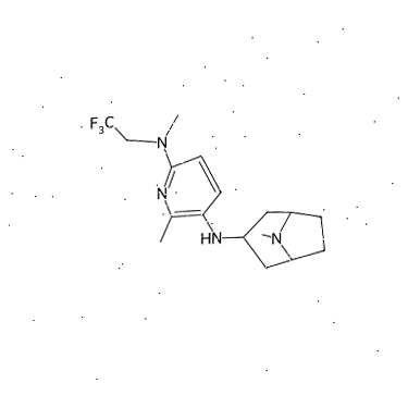 Cc1nc(N(C)CC(F)(F)F)ccc1NC1CC2CCC(C1)N2C